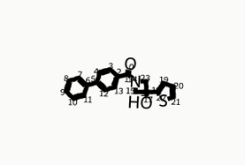 O=C(c1ccc(-c2ccccc2)cc1)N1CC(O)(c2cccs2)C1